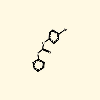 S=C(Oc1ccccc1)Oc1ccc(Br)cc1